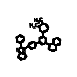 C=C1CC(c2cc(-c3ccc(-c4c(-c5ccccc5)nc5ccccn45)cc3)cc(-c3cccc4ccccc34)c2)=CC=CC1C